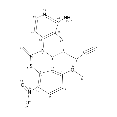 C#CCCCN(C(=C)Sc1cc(OC)ccc1[N+](=O)[O-])c1ccnc(N)c1C